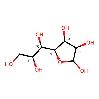 OC[C@H](O)[C@@H](O)[C@@H]1OC(O)[C@H](O)[C@@H]1O